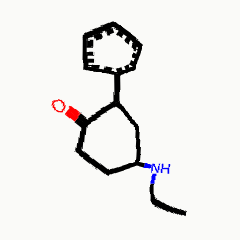 CCNC1CCC(=O)C(c2ccccc2)C1